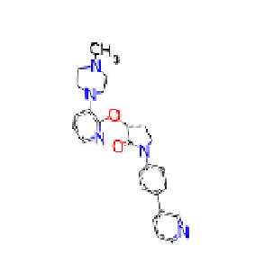 CN1CCN(c2cccnc2OC2CCN(c3ccc(-c4cccnc4)cc3)C2=O)CC1